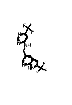 CC(F)(F)c1cc(NCc2cnc3[nH]c(C(F)(F)F)cc3c2)ncn1